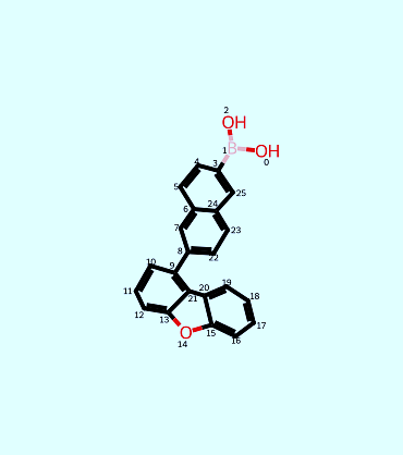 OB(O)c1ccc2cc(-c3cccc4oc5ccccc5c34)ccc2c1